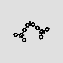 c1ccc(-c2cc(-c3ccc(-c4ccc5sc6ccc(-c7ccc(-c8cc(-c9ccccc9)nc(-c9ccccc9)n8)cc7)cc6c5c4)cc3)nc(-c3ccccc3)n2)cc1